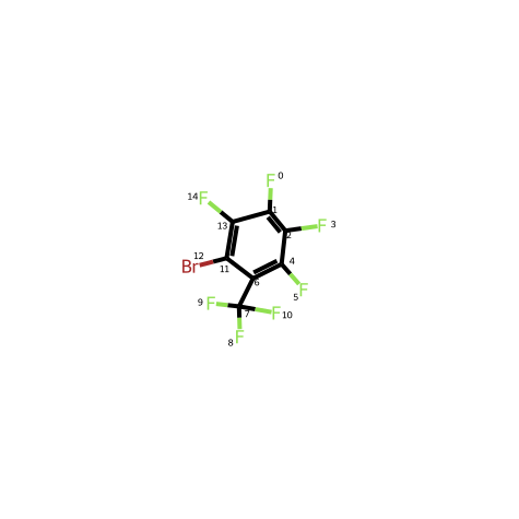 Fc1c(F)c(F)c(C(F)(F)F)c(Br)c1F